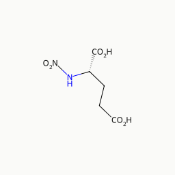 O=C(O)CC[C@H](N[N+](=O)[O-])C(=O)O